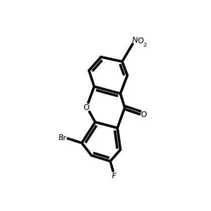 O=c1c2cc([N+](=O)[O-])ccc2oc2c(Br)cc(F)cc12